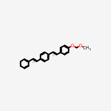 COCOc1ccc(/C=C/c2ccc(/C=C/C3=CCCC=C3)cc2)cc1